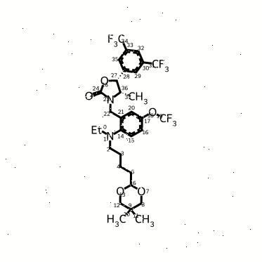 CCN(CCCCC1OCC(C)(C)CO1)c1ccc(OC(F)(F)F)cc1CN1C(=O)O[C@H](c2cc(C(F)(F)F)cc(C(F)(F)F)c2)[C@@H]1C